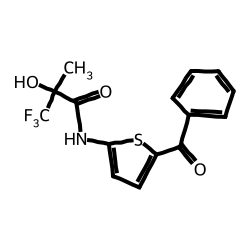 CC(O)(C(=O)Nc1ccc(C(=O)c2ccccc2)s1)C(F)(F)F